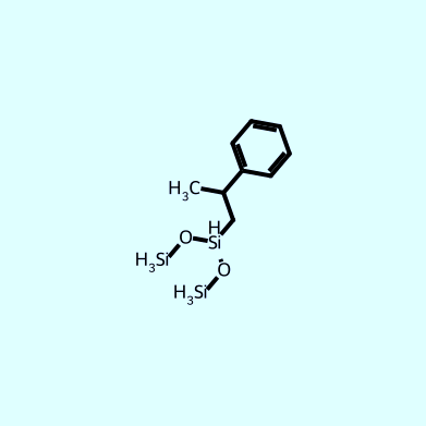 CC(C[SiH](O[SiH3])O[SiH3])c1ccccc1